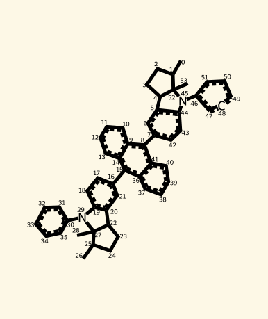 CC1CCC2c3cc(-c4c5ccccc5c(-c5ccc6c(c5)C5CCC(C)C5(C)N6c5ccccc5)c5ccccc45)ccc3N(c3ccccc3)C12C